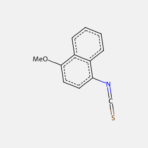 COc1ccc(N=C=S)c2ccccc12